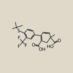 CC(C)(C)Sc1ccc(C2=C(C(=O)O)CC(C)(C(=O)O)C=C2)cc1C(F)(F)F